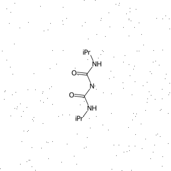 CC(C)NC(=O)[N]C(=O)NC(C)C